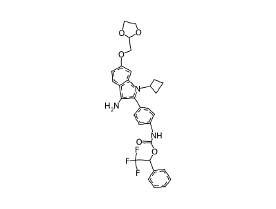 Nc1c(-c2ccc(NC(=O)OC(c3ccccc3)C(F)(F)F)cc2)n(C2CCC2)c2cc(OCC3OCCO3)ccc12